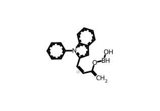 C=C(/C=C\c1cc2ccccc2n1-c1ccccc1)OBO